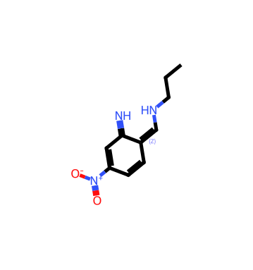 CCCN/C=C1/C=CC([N+](=O)[O-])=CC1=N